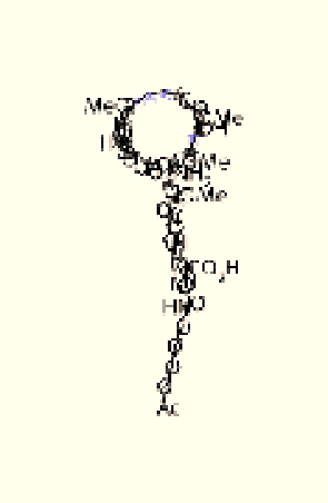 CO[C@H]1C[C@@H]2CC[C@@H](C)[C@@](O)(O2)C(=O)C(=O)N2CCCC[C@H]2C(=O)O[C@H]([C@H](N)C[C@@H]2CC[C@@H](OC(=O)N3CCc4nc(N5CCN(c6ncc(C(=O)NCCOCCOCCOCCOCCC(C)=O)cn6)[C@@H](C(=O)O)C5)ncc4C3)[C@H](OC)C2)C[C@@H](OC)[C@H](C)/C=C(\C)[C@@H](O)[C@@H](OC)C(=O)[C@H](C)C[C@H](C)/C=C/C=C/C=C/1C